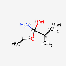 CCOC(N)(O)C(C)C.[LiH]